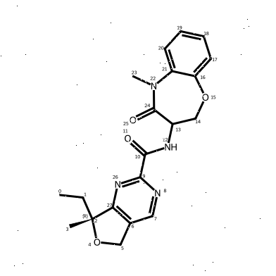 CC[C@@]1(C)OCc2cnc(C(=O)NC3COc4ccccc4N(C)C3=O)nc21